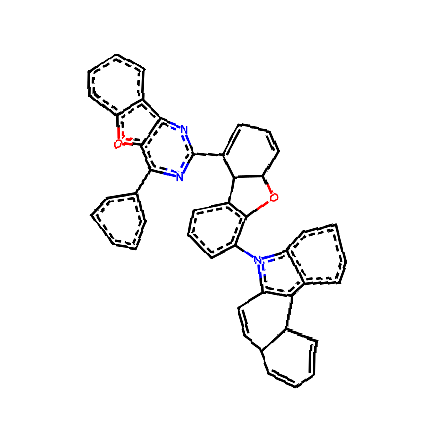 C1=CC2C=Cc3c(c4ccccc4n3-c3cccc4c3OC3C=CC=C(c5nc(-c6ccccc6)c6oc7ccccc7c6n5)C43)C2C=C1